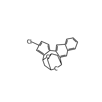 Clc1ccc2c(c1)C1CC3CC(C1)CC(C3)c1cc3ccccc3cc1-2